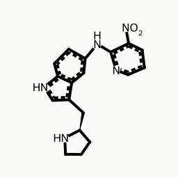 O=[N+]([O-])c1cccnc1Nc1ccc2[nH]cc(C[C@H]3CCCN3)c2c1